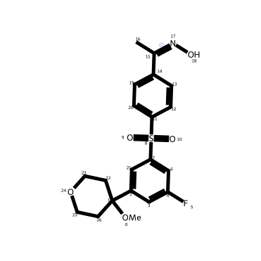 COC1(c2cc(F)cc(S(=O)(=O)c3ccc(/C(C)=N\O)cc3)c2)CCOCC1